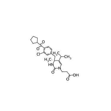 CC(C)C1=CN(CCC(=O)O)C(=O)N[C@@]1(C)Cc1ccc(S(=O)(=O)C2CCCC2)c(Cl)c1